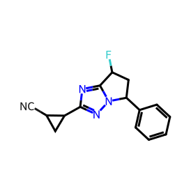 N#CC1CC1c1nc2n(n1)C(c1ccccc1)CC2F